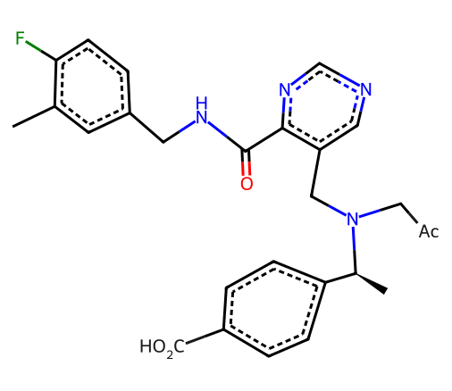 CC(=O)CN(Cc1cncnc1C(=O)NCc1ccc(F)c(C)c1)[C@@H](C)c1ccc(C(=O)O)cc1